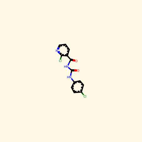 O=C(NC(=O)c1cccnc1Cl)Nc1ccc(Cl)cc1